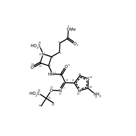 COC(=O)CCC1C(NC(=O)/C(=N\OC(C)(C)C(=O)O)c2csc(N)n2)C(=O)N1S(=O)(=O)O